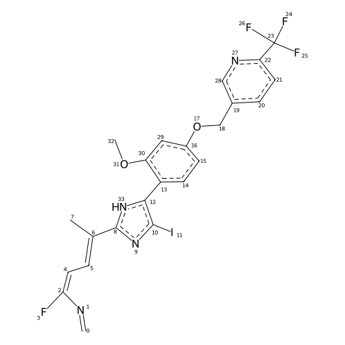 C=N/C(F)=C\C=C(/C)c1nc(I)c(-c2ccc(OCc3ccc(C(F)(F)F)nc3)cc2OC)[nH]1